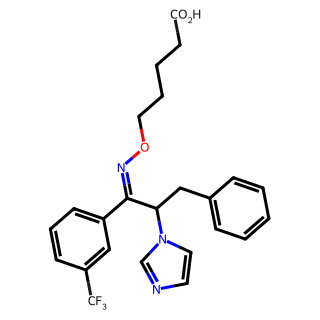 O=C(O)CCCCO/N=C(/c1cccc(C(F)(F)F)c1)C(Cc1ccccc1)n1ccnc1